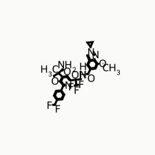 COc1cc(C(=O)NCC(O)(c2cc3c(c(-c4ccc(C(F)F)cc4)n2)OC[C@]3(C)C(N)=O)C(F)(F)F)cc2cn(C3CC3)nc12